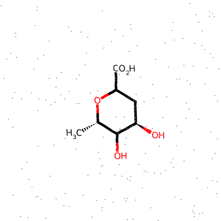 C[C@@H]1OC(C(=O)O)C[C@@H](O)C1O